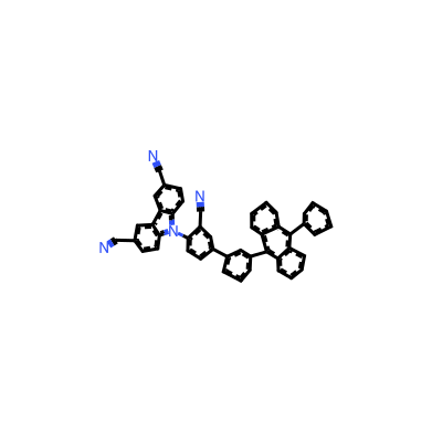 N#Cc1ccc2c(c1)c1cc(C#N)ccc1n2-c1ccc(-c2cccc(-c3c4ccccc4c(-c4ccccc4)c4ccccc34)c2)cc1C#N